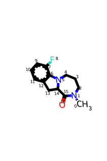 CN1CCCN2c3c(F)cccc3CC2C1=O